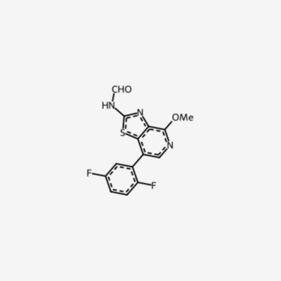 COc1ncc(-c2cc(F)ccc2F)c2sc(NC=O)nc12